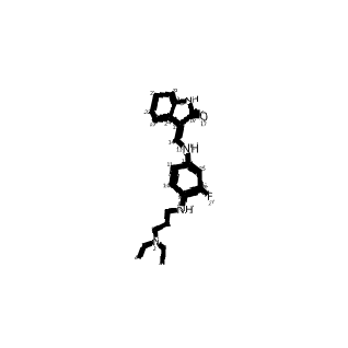 CCN(CC)CCCNc1ccc(N/C=C2\C(=O)Nc3ccccc32)cc1F